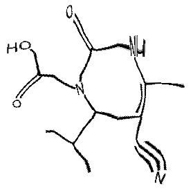 CC1=C(C#N)C(C(C)C)N(C(=O)O)C(=O)N1